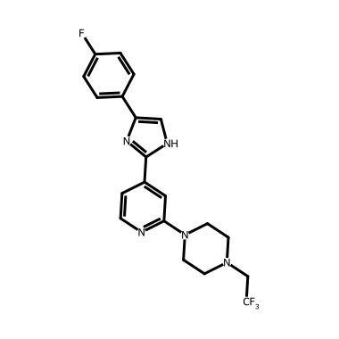 Fc1ccc(-c2c[nH]c(-c3ccnc(N4CCN(CC(F)(F)F)CC4)c3)n2)cc1